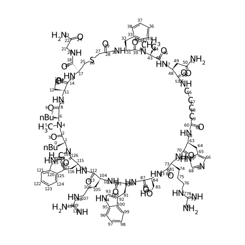 CCCC[C@H]1C(=O)N(C)[C@@H](CCCC)C(=O)N[C@@H](CC(C)C)C(=O)N[C@H](C(=O)NCC(N)=O)CSCC(=O)N[C@@H](Cc2ccccc2)C(=O)N(C)[C@@H](C)C(=O)N[C@@H](CC(N)=O)C(=O)NCCCCC(=O)N[C@@H](Cc2cnc[nH]2)C(=O)N[C@@H](CCCNC(=N)N)C(=O)N[C@@H](CO)C(=O)N[C@@H](Cc2c[nH]c3ccccc23)C(=O)N[C@@H](CCCNC(=N)N)C(=O)N[C@@H](Cc2c[nH]c3ccccc23)C(=O)N1C